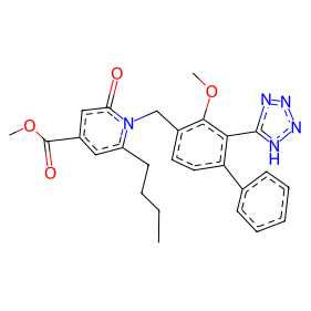 CCCCc1cc(C(=O)OC)cc(=O)n1Cc1ccc(-c2ccccc2)c(-c2nnn[nH]2)c1OC